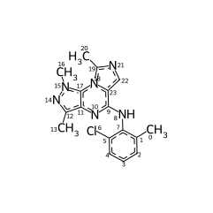 Cc1cccc(Cl)c1Nc1nc2c(C)nn(C)c2n2c(C)ncc12